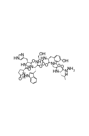 CC(C)C[C@H](NC(=O)CNC(=O)[C@H](Cc1ccc(O)cc1)NC(=O)[C@H](CO)NC(=O)[C@H](Cc1c[nH]c2ccccc12)NC(=O)[C@H](Cc1c[nH]cn1)NC(=O)[C@@H]1CCC(=O)N1)C(=O)NN